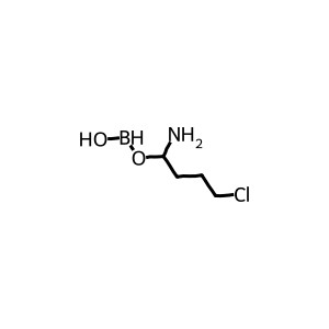 NC(CCCCl)OBO